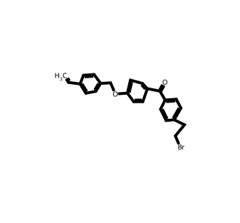 C=Cc1ccc(COc2ccc(C(=O)c3ccc(CCBr)cc3)cc2)cc1